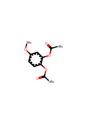 CCCCC(=O)Oc1ccc(OC(C)(C)C)cc1OC(=O)CCCC